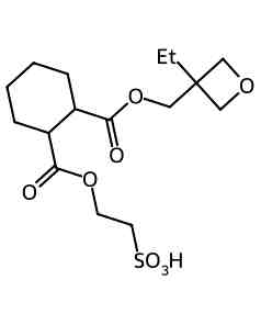 CCC1(COC(=O)C2CCCCC2C(=O)OCCS(=O)(=O)O)COC1